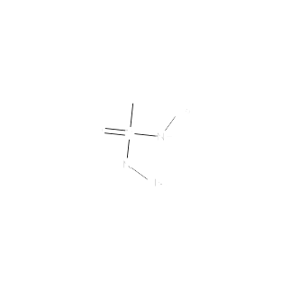 CC(C)(C)NP(C)(=O)NC(C)(C)C